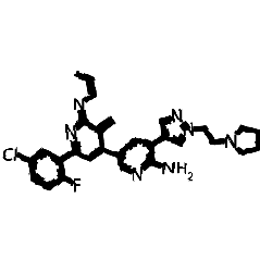 C=C1C(c2cnc(N)c(-c3cnn(CCN4CCCC4)c3)c2)=CC(c2cc(Cl)ccc2F)=N/C1=N/C=C\C